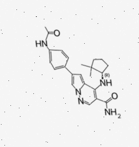 CC(=O)Nc1ccc(-c2cc3c(N[C@@H]4CCCC4(C)C)c(C(N)=O)cnn3c2)cc1